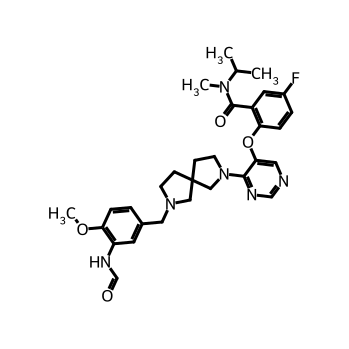 COc1ccc(CN2CCC3(CCN(c4ncncc4Oc4ccc(F)cc4C(=O)N(C)C(C)C)C3)C2)cc1NC=O